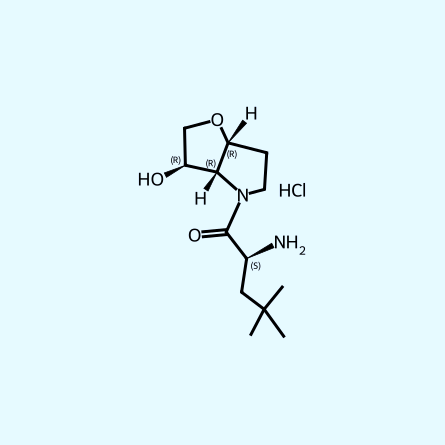 CC(C)(C)C[C@H](N)C(=O)N1CC[C@H]2OC[C@H](O)[C@H]21.Cl